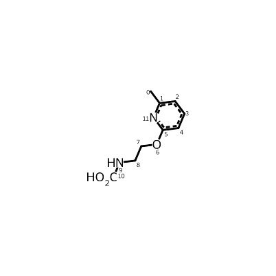 Cc1cccc(OCCNC(=O)O)n1